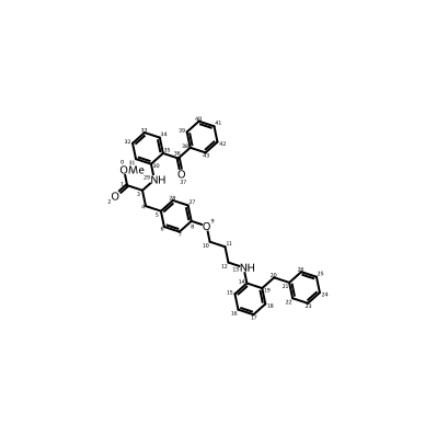 COC(=O)C(Cc1ccc(OCCCNc2ccccc2Cc2ccccc2)cc1)Nc1ccccc1C(=O)c1ccccc1